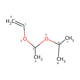 C=COC(C)O[C](C)C